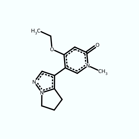 CCOc1cc(=O)n(C)cc1-c1cnn2c1CCC2